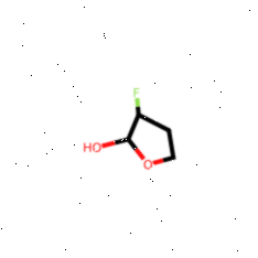 OC1OCCC1F